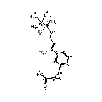 C/C(=C\CO[Si](C)(C)C(C)(C)C)c1cccc(C2CC2C(=O)O)c1